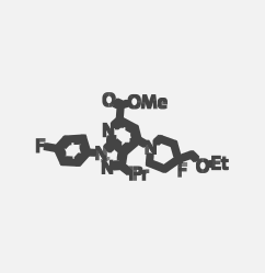 CCOCC1(F)CCN(c2cc(C(=O)OC)nc3c2c(C(C)C)nn3-c2ccc(F)cc2)CC1